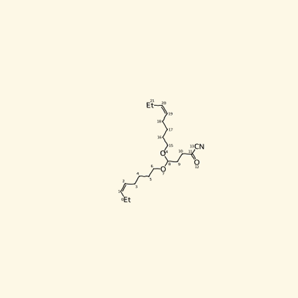 CC/C=C\CCCCOC(CCC(=O)C#N)OCCCC/C=C\CC